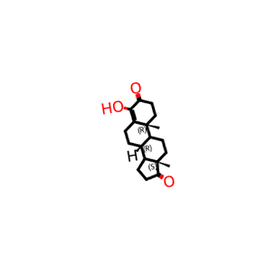 C[C@]12CCC(=O)C(O)=C1CC[C@@H]1C2CC[C@]2(C)C(=O)CCC12